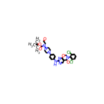 CC(C)(C)OC(=O)N(CC=O)N1CCN(c2ccc(Nc3ncc4c(n3)OCN(c3c(Cl)cccc3Cl)C4=O)cc2)CC1